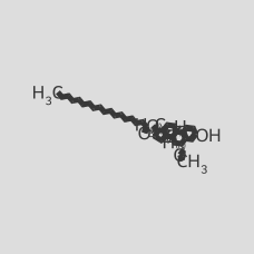 CCCCCCCCCCCCCCCCCC(=O)OC1CC[C@H]2[C@@H]3C[C@@H](COC)c4cc(O)ccc4[C@H]3CC[C@]12C